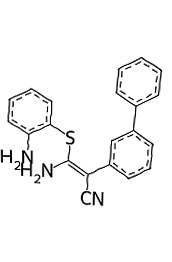 N#C/C(=C(\N)Sc1ccccc1N)c1cccc(-c2ccccc2)c1